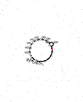 C/C1=C/C=C\C=C/C=C\C=C/C[C@@H]2C[C@H](O)C[C@](O)(C[C@H](O)C[C@@H](O)C[C@H](O)CC(O)C[C@@H](O)C[C@@H](O)C[C@@H](O)CC[C@H](C)[C@H](C(C)C)OC1=O)O2